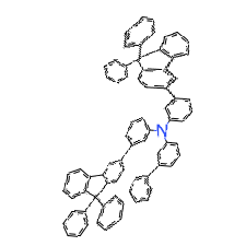 c1ccc(-c2cccc(N(c3cccc(-c4ccc5c(c4)-c4ccccc4C5(c4ccccc4)c4ccccc4)c3)c3cccc(-c4ccc5c(c4)-c4ccccc4C5(c4ccccc4)c4ccccc4)c3)c2)cc1